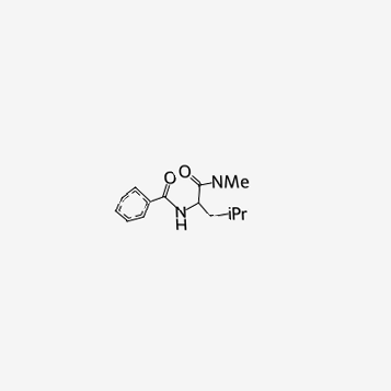 CNC(=O)C(CC(C)C)NC(=O)c1ccccc1